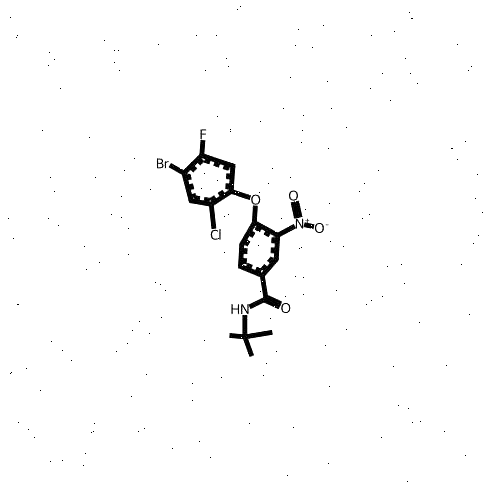 CC(C)(C)NC(=O)c1ccc(Oc2cc(F)c(Br)cc2Cl)c([N+](=O)[O-])c1